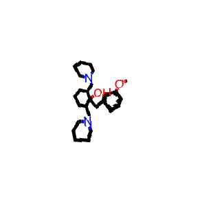 COc1cccc(CC2(O)C(CN3CCCCC3)CCCC2CN2CCCCC2)c1